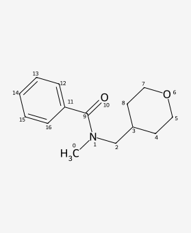 CN(CC1CCOCC1)C(=O)c1ccccc1